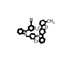 CC1CC=CC2=C1OC1=Cc3c(n(C4C=CC(CN5c6ccccc6C5c5cccc(C#N)c5)=CC4C)c4ccccc34)CC12C